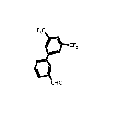 O=Cc1cccc(-c2cc(C(F)(F)F)cc(C(F)(F)F)c2)c1